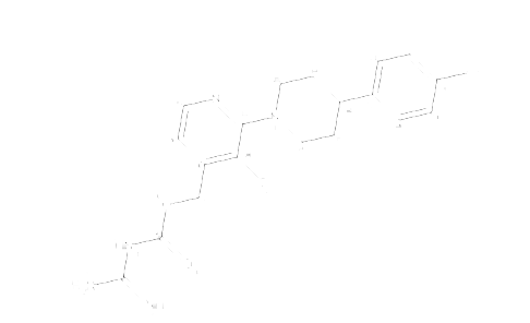 N=C(N)NC(=O)OCc1ccnc(N2CCC(c3ccc(F)cc3)CC2)c1F